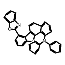 c1ccc(N(c2ccccc2)c2cccc3ccc4c(oc5cccc(-c6nc7ccccc7o6)c54)c23)cc1